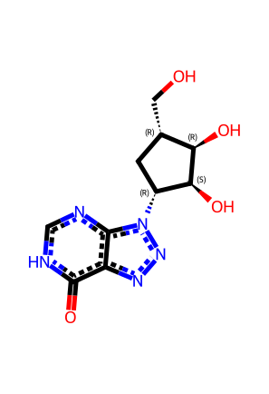 O=c1[nH]cnc2c1nnn2[C@@H]1C[C@H](CO)[C@@H](O)[C@H]1O